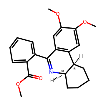 COC(=O)c1ccccc1C1=N[C@@H]2CCCC[C@@H]2c2cc(OC)c(OC)cc21